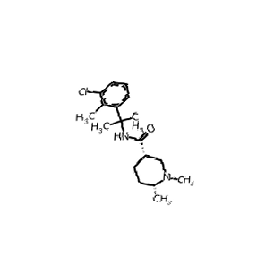 Cc1c(Cl)cccc1C(C)(C)NC(=O)[C@H]1CC[C@@H](C)N(C)C1